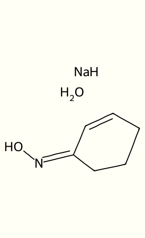 O.ON=C1C=CCCC1.[NaH]